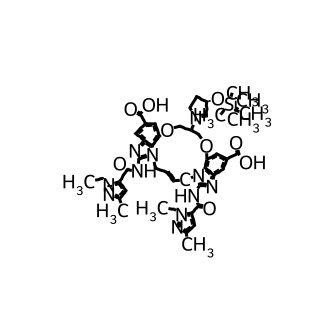 CCn1nc(C)cc1C(=O)Nc1nc2cc(C(=O)O)cc3c2n1C/C=C/Cn1c(NC(=O)c2cc(C)nn2CC)nc2cc(C(=O)O)cc(c21)OCC(N1CC[C@H](O[Si](C)(C)C(C)(C)C)C1)CO3